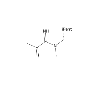 C=C(C)C(=N)N(C)C[C@@H](C)CCC